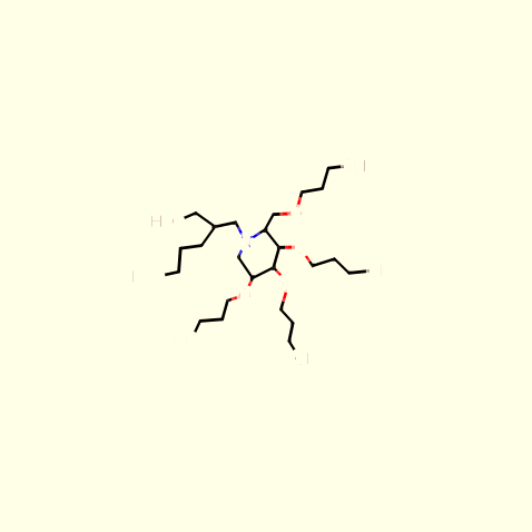 CCCCOCC1C(OCCCC)C(OCCCC)C(OCCCC)CN1CC(CC)CCCC